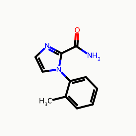 Cc1ccccc1-n1ccnc1C(N)=O